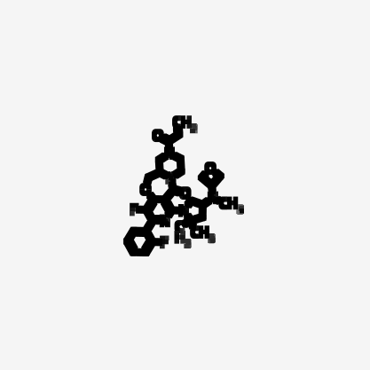 C=CC(=O)N1CCN2C(=O)c3c(N4CC(N(C)C5COC5)CC4(C)C)nc(-c4ccccc4F)c(F)c3OCC2C1